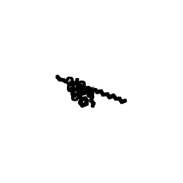 CCCCCCCCCCC[C@H](CC(=O)O[C@@H]1C(C)[C@@H](OCCCC)OC2COC(c3ccccc3)O[C@H]21)OCCCC